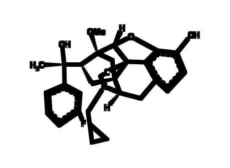 CO[C@]12C[C@@]3(C[C@@H]1[C@](C)(O)c1cccc(F)c1)[C@H]1Cc4ccc(O)c5c4[C@@]3(CCN1CC1CC1)[C@H]2O5